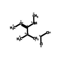 CNC(=[O+]C)N(C)C.ClCCl